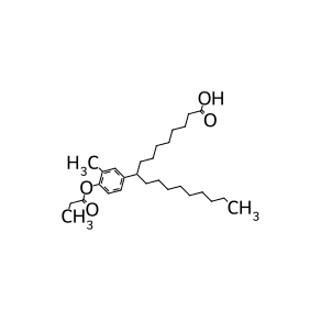 CCCCCCCCCC(CCCCCCCC(=O)O)c1ccc(OC(=O)CC)c(C)c1